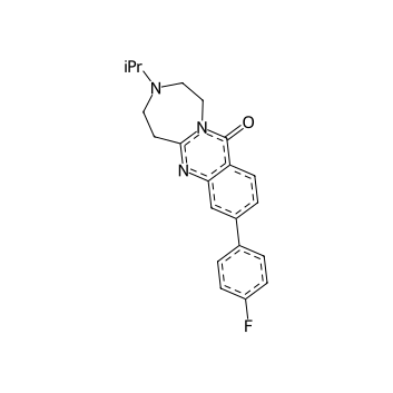 CC(C)N1CCc2nc3cc(-c4ccc(F)cc4)ccc3c(=O)n2CC1